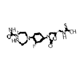 CC(=S)NC[C@H]1CN(c2ccc(N3CCNN(C(N)=O)CC3)c(F)c2)C(=O)O1